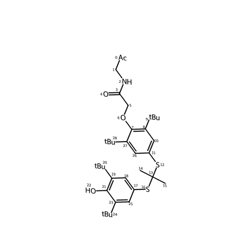 CC(=O)CNC(=O)COc1c(C(C)(C)C)cc(SC(C)(C)Sc2cc(C(C)(C)C)c(O)c(C(C)(C)C)c2)cc1C(C)(C)C